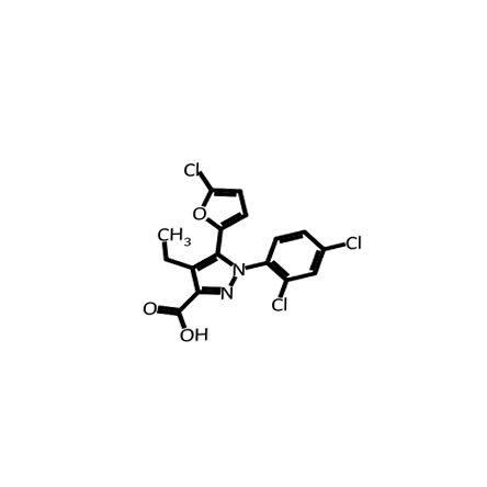 CCc1c(C(=O)O)nn(-c2ccc(Cl)cc2Cl)c1-c1ccc(Cl)o1